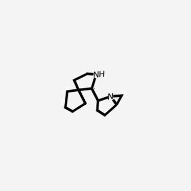 C1CCC2(C1)CCN[C]2C1CCC2CN21